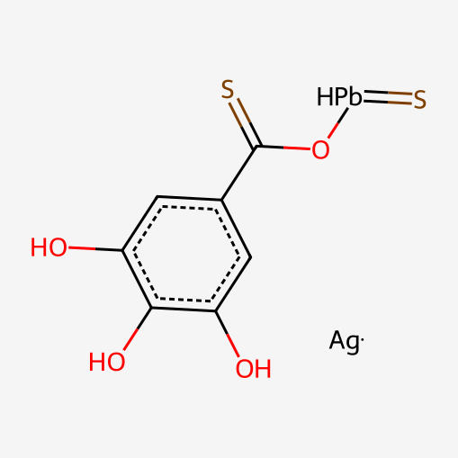 Oc1cc(C(=S)[O][PbH]=[S])cc(O)c1O.[Ag]